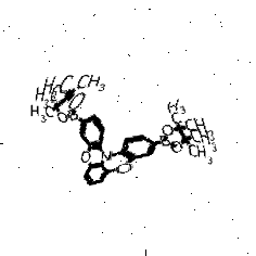 CC1(C)OB(c2ccc3c(c2)Oc2cccc4c2N3c2ccc(B3OC(C)(C)C(C)(C)O3)cc2O4)OC1(C)C